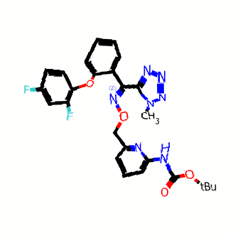 Cn1nnnc1/C(=N\OCc1cccc(NC(=O)OC(C)(C)C)n1)c1ccccc1Oc1ccc(F)cc1F